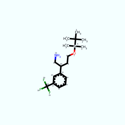 CC(C)(C)[Si](C)(C)OCCC(CN)c1cccc(C(F)(F)F)c1